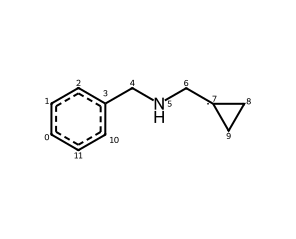 c1ccc(CNC[C]2CC2)cc1